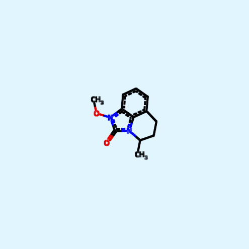 COn1c(=O)n2c3c(cccc31)CCC2C